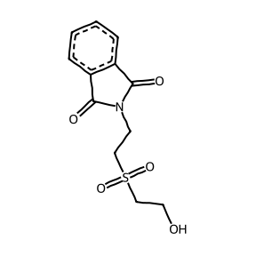 O=C1c2ccccc2C(=O)N1CCS(=O)(=O)CCO